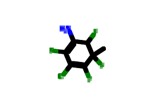 CC1(F)C(F)=C(Cl)C(F)=C(N)C1F